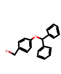 BrCc1ccc(OC(c2ccccc2)c2ccccc2)cc1